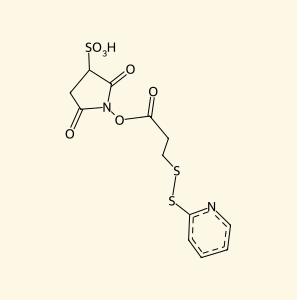 O=C(CCSSc1ccccn1)ON1C(=O)CC(S(=O)(=O)O)C1=O